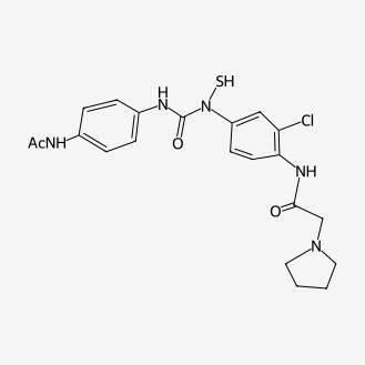 CC(=O)Nc1ccc(NC(=O)N(S)c2ccc(NC(=O)CN3CCCC3)c(Cl)c2)cc1